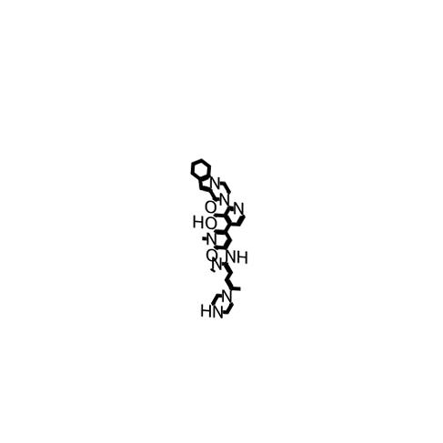 C=N/C(=C\C=C(/C)N1CCNCC1)Nc1cc(-c2ccnc(N3CCn4c(cc5c4CCCC5)C3=O)c2CO)cn(C)c1=O